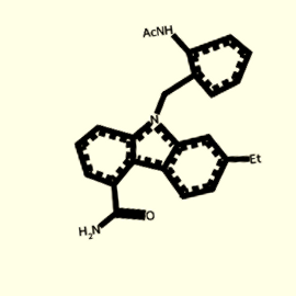 CCc1c[c]c2c3c(C(N)=O)cccc3n(Cc3ccccc3NC(C)=O)c2c1